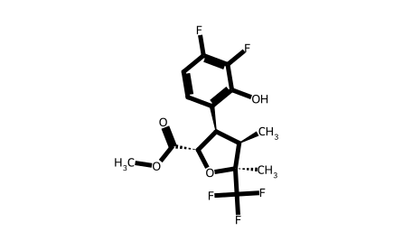 COC(=O)[C@H]1O[C@](C)(C(F)(F)F)[C@H](C)[C@@H]1c1ccc(F)c(F)c1O